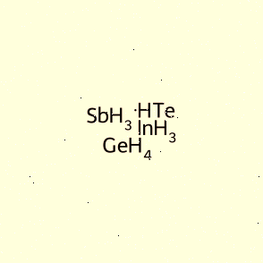 [GeH4].[InH3].[SbH3].[TeH]